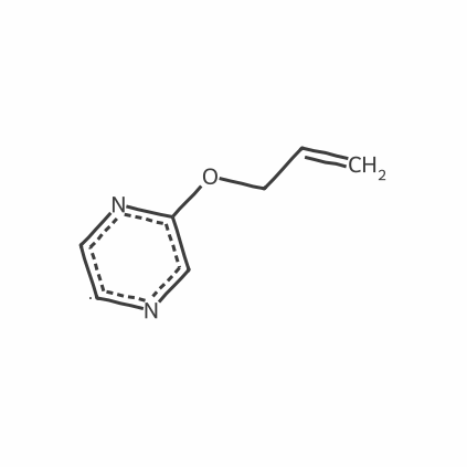 C=CCOc1cn[c]cn1